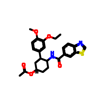 CCOc1cc(C2C[C@H](OC(C)=O)CCC2NC(=O)c2ccc3ncsc3c2)ccc1OC